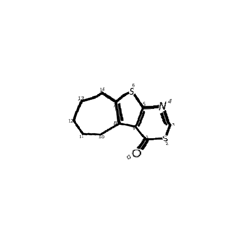 O=c1scnc2sc3c(c12)CCCCC3